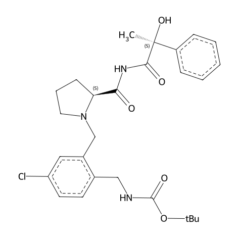 CC(C)(C)OC(=O)NCc1ccc(Cl)cc1CN1CCC[C@H]1C(=O)NC(=O)[C@@](C)(O)c1ccccc1